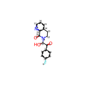 O=C(c1ccc(F)cc1)C(O)N1CCc2cccnc2C1=O